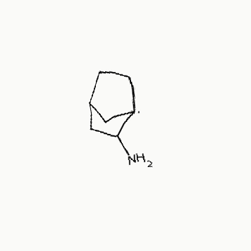 NC1CC2CC[C]1C2